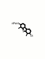 CCCCCc1ccc2c(sc3c(C)c(CC)ccc32)c1C